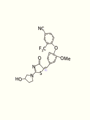 COc1cc(/C=C2/SC(N3CCC(O)C3)=NC2=O)ccc1Oc1ccc(C#N)cc1C(F)(F)F